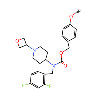 CC(C)Oc1ccc(COC(=O)N(Cc2ccc(F)cc2F)C2CCN(C3COC3)CC2)cc1